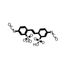 O=C=NC1=CC(S(=O)(=O)O)C(C=Cc2ccc(N=C=O)cc2S(=O)(=O)O)C=C1